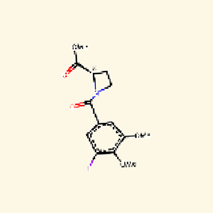 COC(=O)[C@H]1CCN1C(=O)c1cc(I)c(OC)c(OC)c1